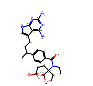 CCN(C(=O)c1ccc(C(C)CCc2c[nH]c3nc(N)nc(N)c23)cc1)[C@@](CC)(CCC(=O)O)C(=O)O